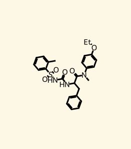 CCOc1ccc(N(C)C(=O)C(Cc2ccccc2)NC(=O)NS(=O)(=O)c2ccccc2C)cc1